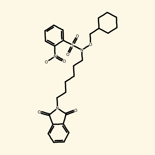 O=C1c2ccccc2C(=O)N1CCCCCCN(OCC1CCCCC1)S(=O)(=O)c1ccccc1[N+](=O)[O-]